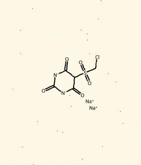 O=C1[N-]C(=O)C(S(=O)(=O)CCl)C(=O)[N-]1.[Na+].[Na+]